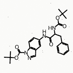 CC(C)(C)OC(=O)NC(Cc1ccccc1)C(=O)Nc1ccc2c(cnn2C(=O)OC(C)(C)C)c1